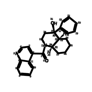 O=C(c1ccnc2ccccc12)N1CC[C@](O)(c2ccccc2)[C@H]2CCCC[C@H]21